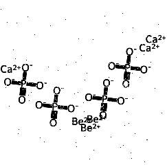 O=P([O-])([O-])[O-].O=P([O-])([O-])[O-].O=P([O-])([O-])[O-].O=P([O-])([O-])[O-].[Be+2].[Be+2].[Be+2].[Ca+2].[Ca+2].[Ca+2]